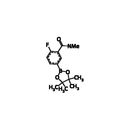 CNC(=O)c1cc(B2OC(C)(C)C(C)(C)O2)ccc1F